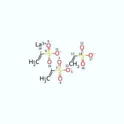 C=CS(=O)(=O)[O-].C=CS(=O)(=O)[O-].C=CS(=O)(=O)[O-].[La+3]